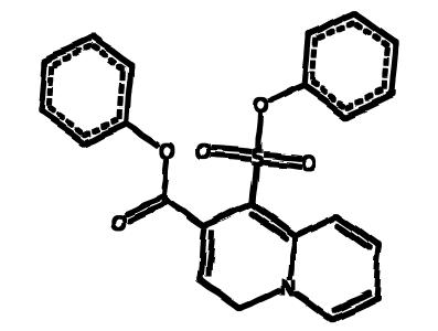 O=C(Oc1ccccc1)C1=CCN2C=CC=CC2=C1S(=O)(=O)Oc1ccccc1